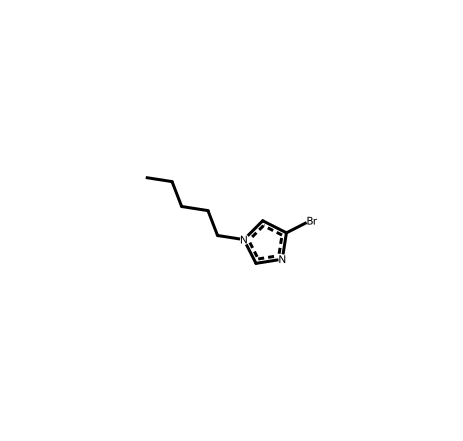 CCCCCn1cnc(Br)c1